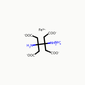 NC(CC(=O)[O-])(CC(=O)[O-])C(N)(CC(=O)[O-])CC(=O)[O-].[Fe+3].[NH4+]